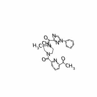 CC(=O)c1cccc(C(=O)N2CCN(C(=O)c3ncn(-c4ccccc4)n3)C(C)(C)C2)n1